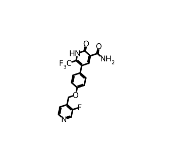 NC(=O)c1cc(-c2ccc(OCc3ccncc3F)cc2)c(C(F)(F)F)[nH]c1=O